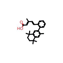 CC(C=Cc1ccccc1-c1cc2c(cc1C)C(C)(C)CCC2(C)C)=CC(=O)O